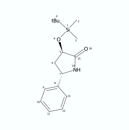 CC(C)(C)[Si](C)(C)O[C@@H]1C[C@@H](c2ccccc2)NC1=O